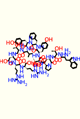 CC(C)[C@H](NC(=O)[C@H](Cc1ccc(O)cc1)NC(=O)[C@H](Cc1ccccc1)NC(=O)[C@H](Cc1ccc(O)cc1)NC(=O)[C@@H](NC(=O)[C@@H]1CCCN1C(=O)[C@H](CCC(=O)O)NC(=O)[C@@H](NC(=O)[C@@H](N)Cc1c[nH]c2ccccc12)[C@@H](C)O)[C@@H](C)O)C(=O)N[C@H](C(=O)N[C@@H](CC(=O)O)C(=O)N[C@@H](CCCNC(=N)N)C(=O)N[C@@H](CCCNC(=N)N)C(=O)O)[C@@H](C)O